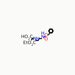 CCOC(=O)C(CCCNC(=O)OCc1ccccc1)N[C@@H](C)C(=O)O